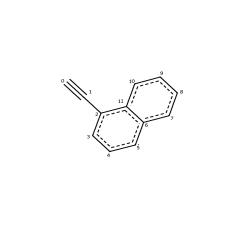 C#Cc1cc[c]c2ccccc12